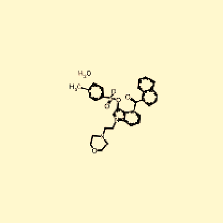 Cc1ccc(S(=O)(=O)Oc2cn(CCN3CCOCC3)c3cccc(C(=O)c4cccc5ccccc45)c23)cc1.O